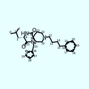 CC(C)C[C@@H]1NC(=O)C2(CCN(CCCCc3ccccc3)CC2)N(Cc2cccs2)C1=O